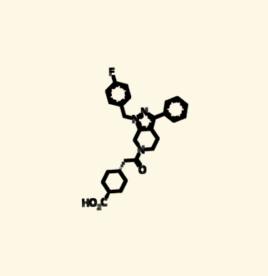 O=C(C[C@H]1CC[C@H](C(=O)O)CC1)N1CCc2c(-c3ccccc3)nn(Cc3ccc(F)cc3)c2C1